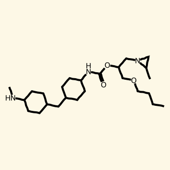 CCCCOCC(CN1CC1C)OC(=O)NC1CCC(CC2CCC(NC)CC2)CC1